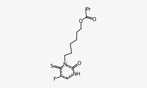 CC(C)C(=O)OCCCCCCn1c(=O)[nH]cc(F)c1=S